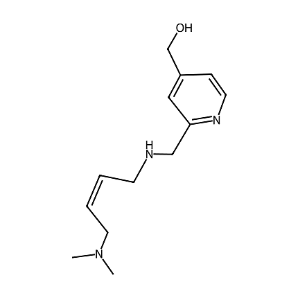 CN(C)C/C=C\CNCc1cc(CO)ccn1